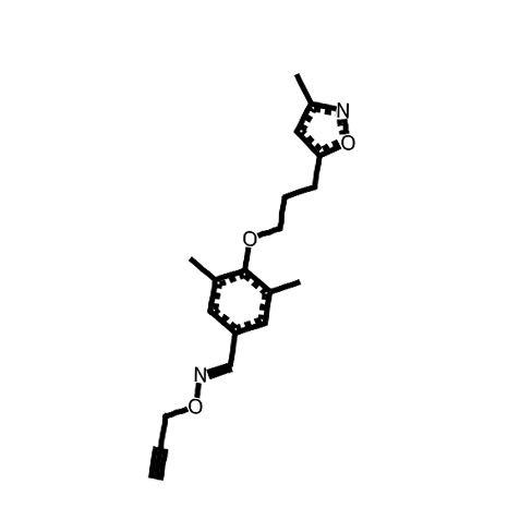 C#CCON=Cc1cc(C)c(OCCCc2cc(C)no2)c(C)c1